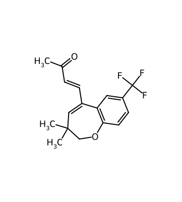 CC(=O)C=CC1=CC(C)(C)COc2ccc(C(F)(F)F)cc21